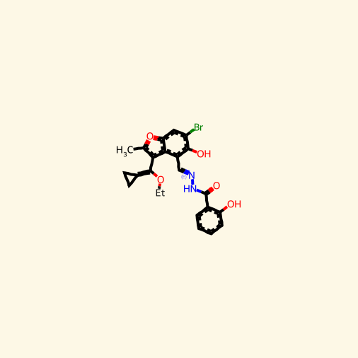 CCOC(=C1CC1)c1c(C)oc2cc(Br)c(O)c(/C=N/NC(=O)c3ccccc3O)c12